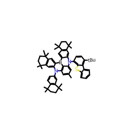 Cc1cc2c3c(c1)N(c1ccc(C(C)(C)C)c4c1sc1ccccc14)c1cc4c(cc1B3c1cc3c(cc1N2c1ccc2c(c1)C(C)(C)CCC2(C)C)C(C)(C)CCC3(C)C)C(C)(C)CCC4(C)C